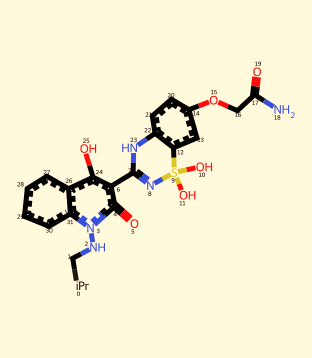 CC(C)CNn1c(=O)c(C2=NS(O)(O)c3cc(OCC(N)=O)ccc3N2)c(O)c2ccccc21